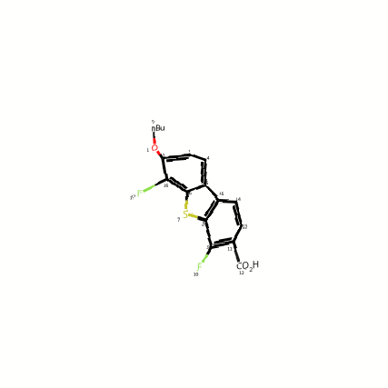 CCCCOc1ccc2c(sc3c(F)c(C(=O)O)ccc32)c1F